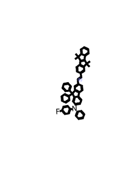 CC1(C)C2=C(c3ccccc31)C(C)(C)c1cc(/C=C/c3ccc4c(c3)C(c3ccccc3)(c3ccccc3)c3cc(N(c5ccccc5)c5ccc(F)cc5)ccc3-4)ccc12